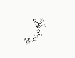 [C-]#[N+]c1cc(C(C)C)c2oc(-c3ccc(C(=O)NCC4CCN(CCCC(F)(C(F)(F)F)C(F)(F)F)CC4)cc3)nc2c1